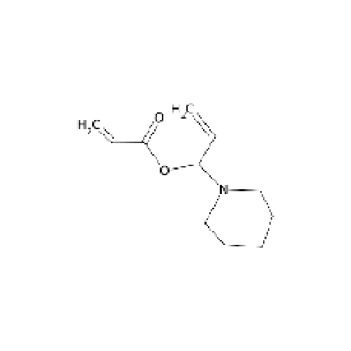 C=CC(=O)OC(C=C)N1CCCCC1